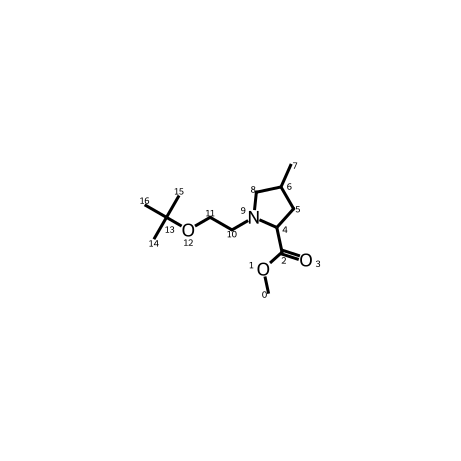 COC(=O)C1CC(C)CN1CCOC(C)(C)C